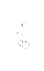 C=C1CCC(c2n[nH]c3nnccc23)C(=O)N1